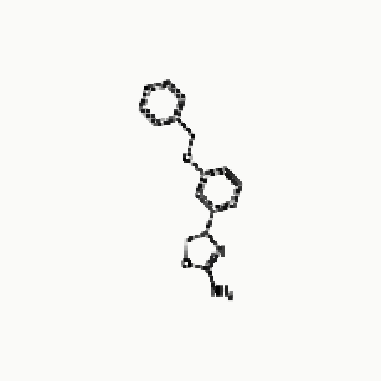 NC1=NC(c2cccc(OCc3ccccc3)c2)CO1